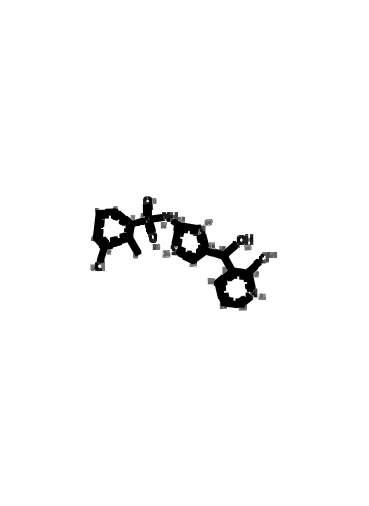 Cc1c(Cl)cccc1S(=O)(=O)Nc1nc(C(O)c2cccnc2Cl)cs1